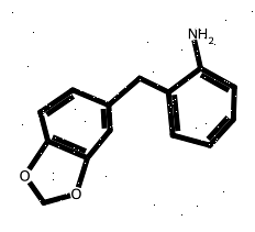 Nc1ccccc1Cc1ccc2c(c1)OCO2